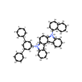 c1ccc(-c2cc(-c3ccccc3)cc(-n3c4ccccc4c4c5c6ccccc6n(-c6cccc7ccccc67)c5ccc43)c2)cc1